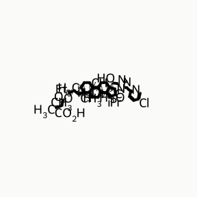 CC[C@H](CC[C@@]1(C)[C@H](C)CC[C@]2(C)[C@@H]1CC[C@@H]1C3=C(C(C)C)C(=O)C[C@]3(C(O)c3nnc(-c4ccc(Cl)cn4)n3C)CC[C@]12C)OC(=O)CC(C)(C)C(=O)O